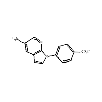 Bc1cnc2c(ccn2-c2ccc(C(=O)OCC)cc2)c1